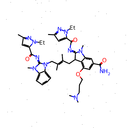 CCn1nc(C)cc1C(=O)/N=C1/C(C/C(C)=C(\C)Cn2/c(=N/C(=O)c3cc(C)nn3CC)n(C)c3ccccc32)c2c(OCCCN(C)C)cc(C(N)=O)cc2N1C